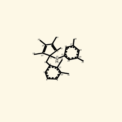 CC1=C(C)C(Cc2cccc(C)c2C)([SiH2]c2cc(C)cc(C)c2)C(C)=C1C